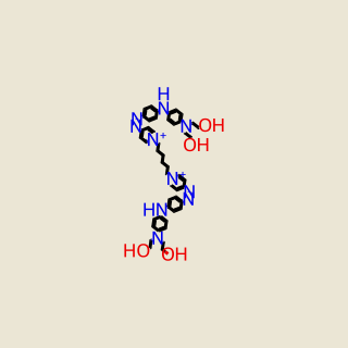 OCCN(CCO)c1ccc(Nc2ccc(/N=N\c3cc[n+](CCCCCC[n+]4ccc(/N=N\c5ccc(Nc6ccc(N(CCO)CCO)cc6)cc5)cc4)cc3)cc2)cc1